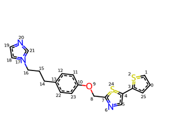 c1csc(-c2cnc(COc3ccc(CCCn4ccnc4)cc3)s2)c1